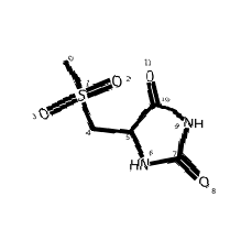 CS(=O)(=O)CC1NC(=O)NC1=O